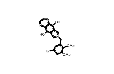 COc1cc(Br)cc(Cn2cc3c(O)c4nccnc4c(O)c3c2)c1OC